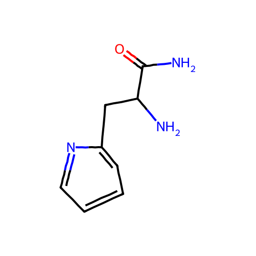 NC(=O)C(N)Cc1ccccn1